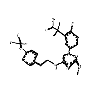 COc1nc(NCCc2ccc(OC(F)(F)F)cc2)cc(-c2ccc(F)c(C(C)(C)C(=O)O)c2)n1